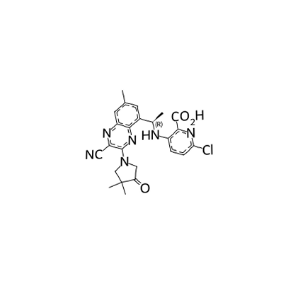 Cc1cc([C@@H](C)Nc2ccc(Cl)nc2C(=O)O)c2nc(N3CC(=O)C(C)(C)C3)c(C#N)nc2c1